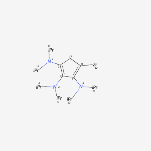 CC(C)N(C1=C(N(C(C)C)C(C)C)C(N(C(C)C)C(C)C)=[C]([Zr])C1)C(C)C